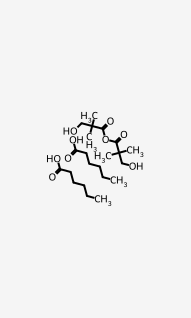 CC(C)(CO)C(=O)OC(=O)C(C)(C)CO.CCCCCC(=O)O.CCCCCC(=O)O